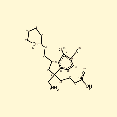 NCC(CCCOC1CCCCO1)(CCCC(=O)O)c1ccc(Cl)c(Cl)c1